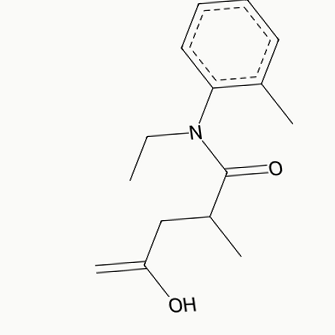 C=C(O)CC(C)C(=O)N(CC)c1ccccc1C